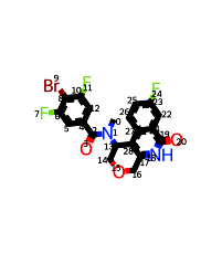 CN(C(=O)c1cc(F)c(Br)c(F)c1)C1COCc2[nH]c(=O)c3cc(F)ccc3c21